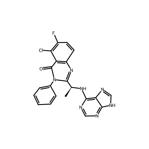 C[C@H](Nc1ncnc2[nH]cnc12)c1nc2ccc(F)c(Cl)c2c(=O)n1-c1ccccc1